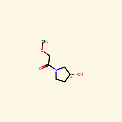 COCC(=O)N1CC[C@@H](O)C1